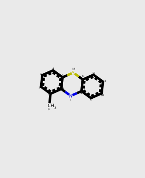 Cc1cccc2c1[N]c1ccccc1S2